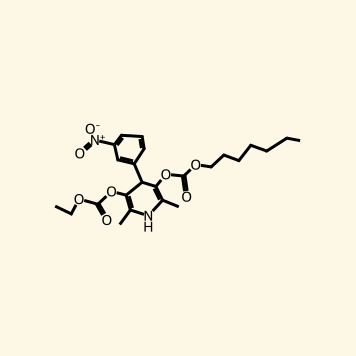 CCCCCCCOC(=O)OC1=C(C)NC(C)=C(OC(=O)OCC)C1c1cccc([N+](=O)[O-])c1